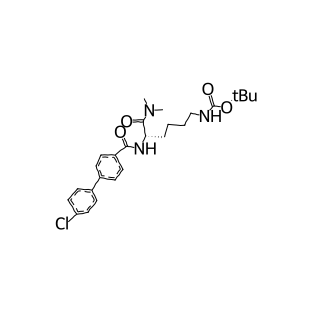 CN(C)C(=O)[C@H](CCCCNC(=O)OC(C)(C)C)NC(=O)c1ccc(-c2ccc(Cl)cc2)cc1